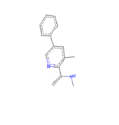 C=C(NC)c1ncc(-c2ccccc2)cc1C